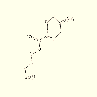 C=C1CCC(C(=O)OCCCS(=O)(=O)O)CC1